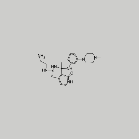 CN1CCN(c2cccc(NC3(C)NC(NCCN)=Cc4cc[nH]c(=O)c43)c2)CC1